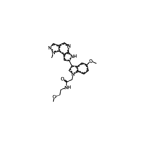 COCCNC(=O)Cn1cc(-c2cc3c(ncc4cnn(C)c43)[nH]2)c2cc(OC)ccc21